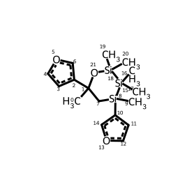 CC1(c2ccoc2)C[Si](C)(c2ccoc2)[Si](C)(C)[Si](C)(C)O1